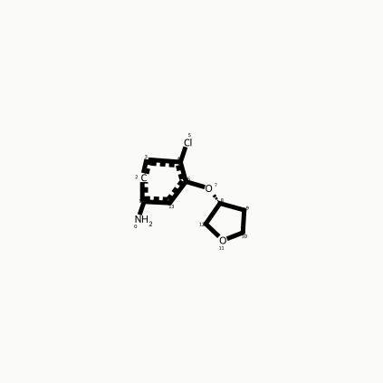 Nc1ccc(Cl)c(O[C@@H]2CCOC2)c1